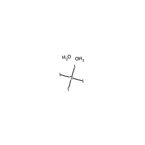 O.O.[I][Ti]([I])([I])[I]